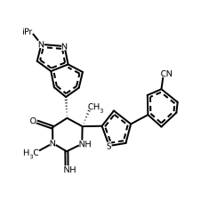 CC(C)n1cc2cc([C@H]3C(=O)N(C)C(=N)N[C@]3(C)c3cc(-c4cccc(C#N)c4)cs3)ccc2n1